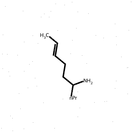 C/C=C/CCC(N)CCC